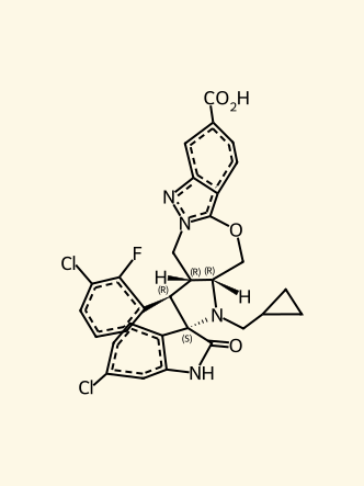 O=C(O)c1ccc2c3n(nc2c1)C[C@@H]1[C@H](CO3)N(CC2CC2)[C@@]2(C(=O)Nc3cc(Cl)ccc32)[C@H]1c1cccc(Cl)c1F